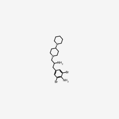 Nc1c(Br)cc(CC(N)CN2CCC(N3CCCCC3)CC2)cc1Br